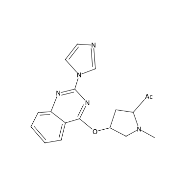 CC(=O)C1CC(Oc2nc(-n3ccnc3)nc3ccccc23)CN1C